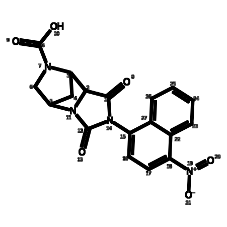 O=C1C2C3CC(CN3C(=O)O)N2C(=O)N1c1ccc([N+](=O)[O-])c2ccccc12